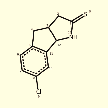 S=C1CC2Cc3ccc(Cl)cc3C2N1